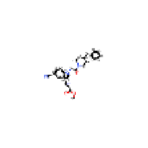 COC(=O)/C=C/c1cn(CC(=O)N2CCC(Cc3ccccc3)CC2)c2ccc(C#N)cc12